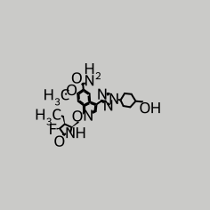 CC[C@@H]1[C@H](F)C(=O)N[C@@H]1COc1ncc(-c2ncn(C3CCC(CO)CC3)n2)c2cc(C(N)=O)c(OC)cc12